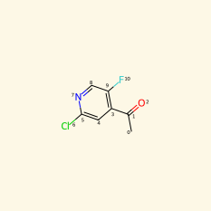 CC(=O)c1cc(Cl)ncc1F